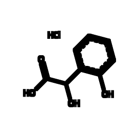 Cl.O=C(O)C(O)c1ccccc1O